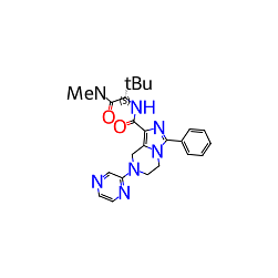 CNC(=O)[C@@H](NC(=O)c1nc(-c2ccccc2)n2c1CN(c1cnccn1)CC2)C(C)(C)C